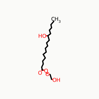 CCCCCCC(O)CCCCCCCCCCC(=O)OOCCO